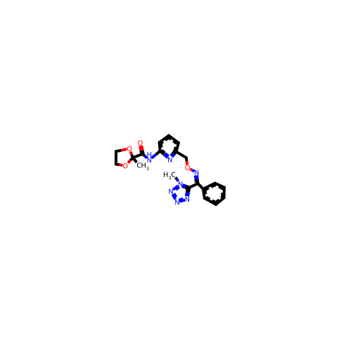 Cn1nnnc1/C(=N\OCc1cccc(NC(=O)C2(C)OCCO2)n1)c1ccccc1